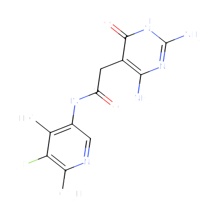 Cc1c(NC(=O)Cc2c(N)nc(N)[nH]c2=O)cnc(C(=O)O)c1F